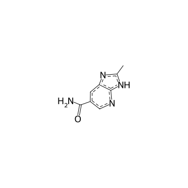 Cc1nc2cc(C(N)=O)cnc2[nH]1